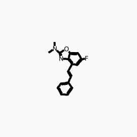 CN(C)c1nc2c(C=Cc3ccccc3)cc(F)cc2o1